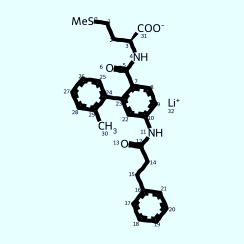 CSCC[C@H](NC(=O)c1ccc(NC(=O)CCc2ccccc2)cc1-c1ccccc1C)C(=O)[O-].[Li+]